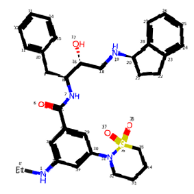 CCNc1cc(C(=O)N[C@@H](Cc2ccccc2)[C@H](O)CN[C@@H]2CCc3ccccc32)cc(N2CCCCS2(=O)=O)c1